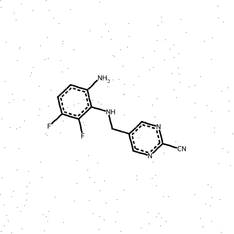 N#Cc1ncc(CNc2c(N)ccc(F)c2F)cn1